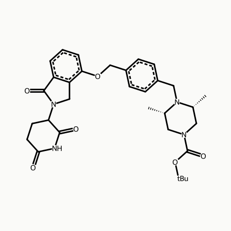 C[C@@H]1CN(C(=O)OC(C)(C)C)C[C@H](C)N1Cc1ccc(COc2cccc3c2CN(C2CCC(=O)NC2=O)C3=O)cc1